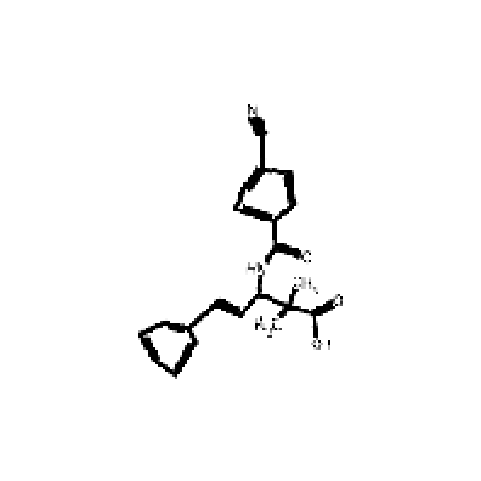 CC(C)(C(=O)O)C(C=Cc1ccccc1)NC(=O)c1ccc(C#N)cc1